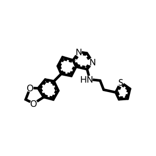 c1csc(CCNc2ncnc3ccc(-c4ccc5c(c4)OCO5)cc23)c1